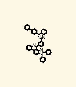 c1ccc(-c2ccc(-c3nc(-c4cccc(-c5nc6ccccc6c6ccc7c(nc(-c8ccccc8)n7-c7ccccc7)c56)c4)nc4ccccc34)cc2)cc1